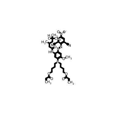 C=CC(=O)OCCCCN(CCCCOC(=O)C=C)c1cc(NC(=O)CC(C)CC(C)(C)C)c(/N=N/c2c(C#N)cc([N+](=O)[O-])nc2C#N)cc1OC